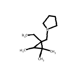 CCC1(CN2CCCC2)C(C)C1(C)C